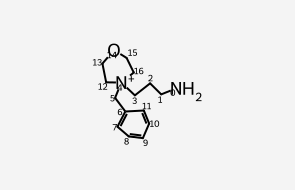 NCCC[N+]1(Cc2ccccc2)CCOCC1